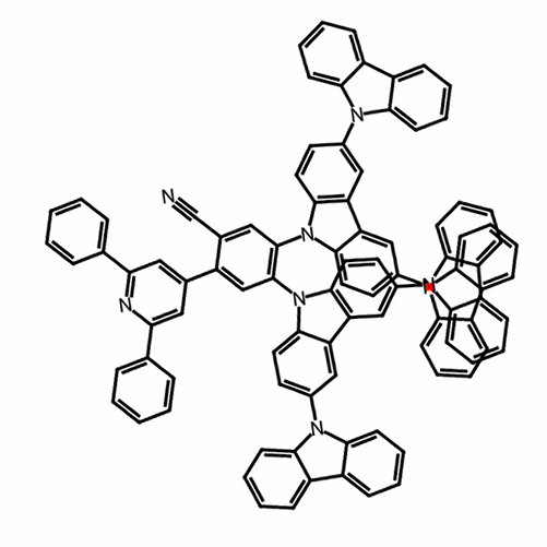 N#Cc1cc(-n2c3ccc(-n4c5ccccc5c5ccccc54)cc3c3cc(-n4c5ccccc5c5ccccc54)ccc32)c(-n2c3ccc(-n4c5ccccc5c5ccccc54)cc3c3cc(-n4c5ccccc5c5ccccc54)ccc32)cc1-c1cc(-c2ccccc2)nc(-c2ccccc2)c1